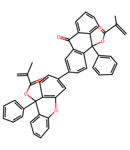 C=C(C)C(=O)OC1(c2ccccc2)c2ccccc2Oc2cc(-c3ccc4c(c3)C(=O)c3ccccc3C4(OC(=O)C(=C)C)c3ccccc3)ccc21